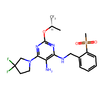 C[C@H](Oc1nc(NCc2ccccc2S(C)(=O)=O)c(N)c(N2CCC(F)(F)C2)n1)C(F)(F)F